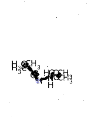 CC(C)(C)OC(=O)NCCC/N=C\C1CC=C(C#C[Si](C)(C)C)O1